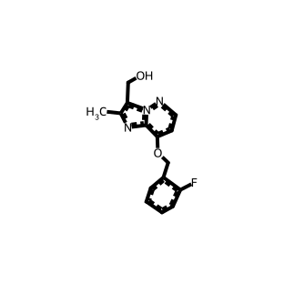 Cc1nc2c(OCc3ccccc3F)ccnn2c1CO